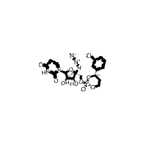 [N-]=[N+]=N[C@]1(COP2(=O)OCC[C@@H](c3cccc(Cl)c3)O2)OC(n2ccc(=O)[nH]c2=O)[C@H](O)[C@@H]1O